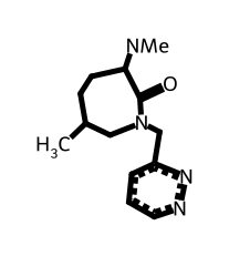 CNC1CCC(C)CN(Cc2cccnn2)C1=O